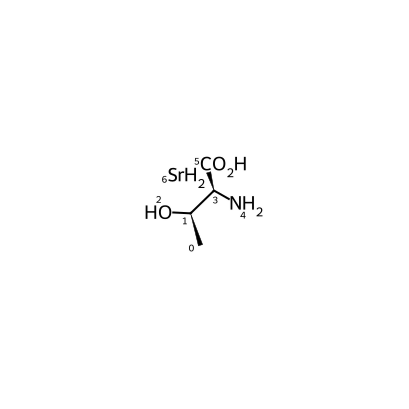 C[C@@H](O)[C@H](N)C(=O)O.[SrH2]